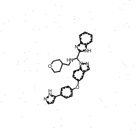 c1ccc2[nH]c(C(NCC3CCOCC3)n3ncc4cc(Oc5ccc(-c6ccn[nH]6)cc5)ccc43)nc2c1